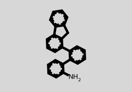 Nc1ccccc1-c1ccccc1-c1cccc2c1Cc1ccccc1-2